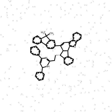 CC1(C)c2ccccc2-c2ccc(C3=Cc4c(oc5ccccc45)C4c5ccccc5[C@H](CCC5=NC(c6ccccc6)=CC(c6ccccc6)N5)C34)cc21